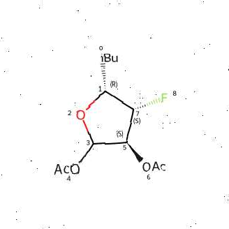 CCC(C)[C@H]1OC(OC(C)=O)[C@H](OC(C)=O)[C@H]1F